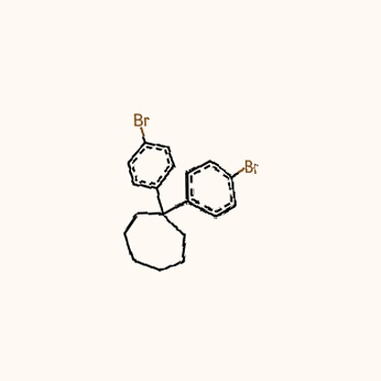 Brc1ccc(C2(c3ccc(Br)cc3)CCCCCC2)cc1